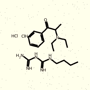 CCCCNC(=N)NC(=N)N.CCN(CC)C(C)C(=O)c1ccccc1.Cl.Cl